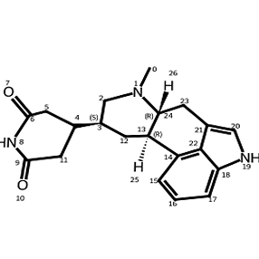 CN1C[C@H](C2CC(=O)NC(=O)C2)C[C@@H]2c3cccc4[nH]cc(c34)C[C@H]21